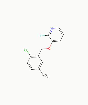 O=[N+]([O-])c1ccc(Cl)c(COc2cccnc2F)c1